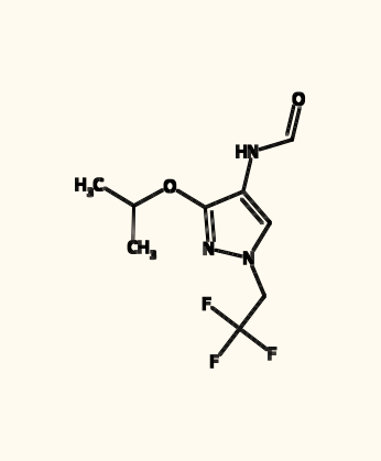 CC(C)Oc1nn(CC(F)(F)F)cc1NC=O